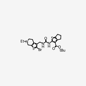 CCN1CCc2c(sc(Br)c2CNC(=O)Nc2sc3c(c2C(=O)OC(C)(C)C)CCC3)C1